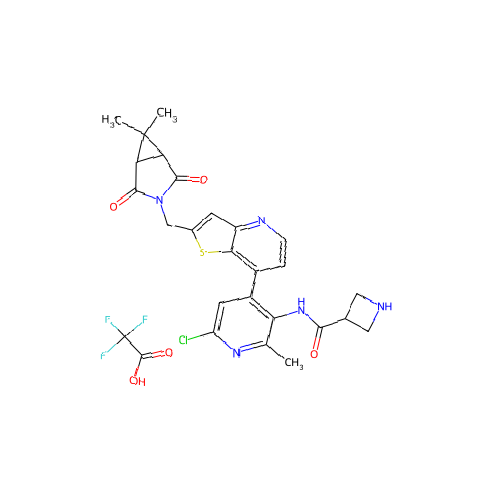 Cc1nc(Cl)cc(-c2ccnc3cc(CN4C(=O)C5C(C4=O)C5(C)C)sc23)c1NC(=O)C1CNC1.O=C(O)C(F)(F)F